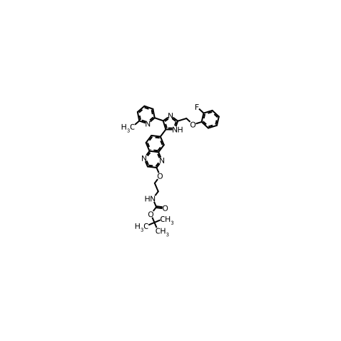 Cc1cccc(-c2nc(COc3ccccc3F)[nH]c2-c2ccc3ncc(OCCNC(=O)OC(C)(C)C)nc3c2)n1